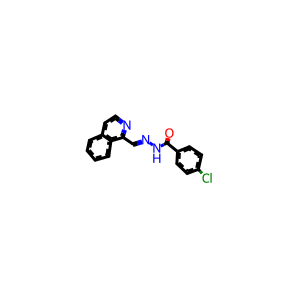 O=C(NN=Cc1nccc2ccccc12)c1ccc(Cl)cc1